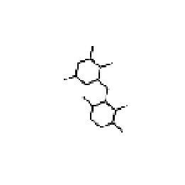 CC1CC(C)C(C)C(CC2C(C)CCC(C)C2C)C1